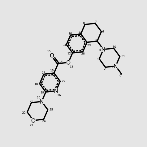 CN1CCN(C2CCCc3ccc(OC(=O)c4ccc(N5CCOCC5)nc4)cc32)CC1